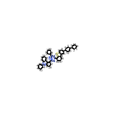 c1ccc(-c2ccc(-c3ccc4sc5c(-c6nc(-c7ccccc7)nc(-c7cccc8c7c7ccccc7n8-c7ccccc7)n6)cccc5c4c3)cc2)cc1